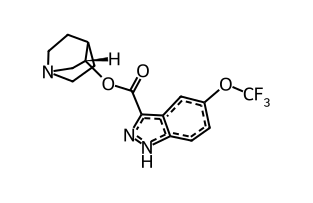 O=C(O[C@@H]1CN2CCC1CC2)c1n[nH]c2ccc(OC(F)(F)F)cc12